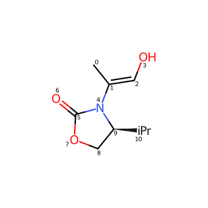 C/C(=C\O)N1C(=O)OC[C@@H]1C(C)C